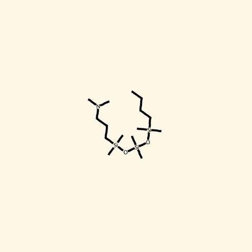 CCCC[Si](C)(C)O[Si](C)(C)O[Si](C)(C)CCCN(C)C